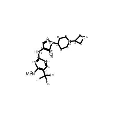 CNc1nc(Nc2cnn(C3CCN(C4COC4)CC3)c2Cl)ncc1C(F)(I)I